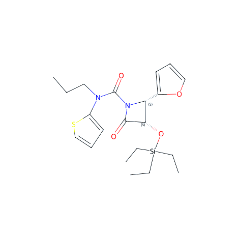 CCCN(C(=O)N1C(=O)[C@@H](O[Si](CC)(CC)CC)[C@H]1c1ccco1)c1cccs1